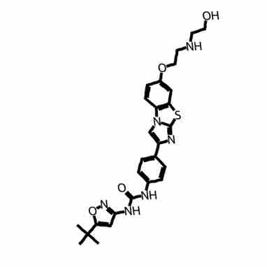 CC(C)(C)c1cc(NC(=O)Nc2ccc(-c3cn4c(n3)sc3cc(OCCNCCO)ccc34)cc2)no1